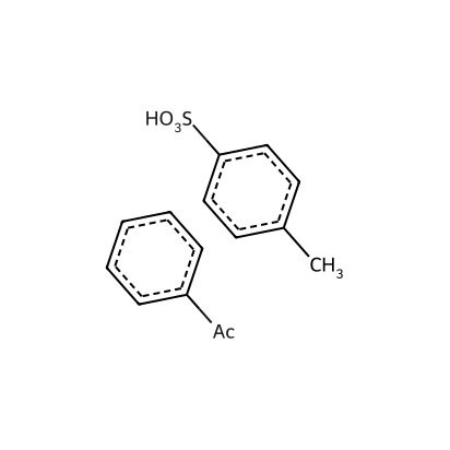 CC(=O)c1ccccc1.Cc1ccc(S(=O)(=O)O)cc1